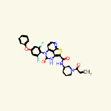 C=CC(=O)N1CCCC(NC(=O)c2sc3nccc4c3c2NC(=O)N4c2c(F)cc(Oc3ccccc3)cc2F)C1